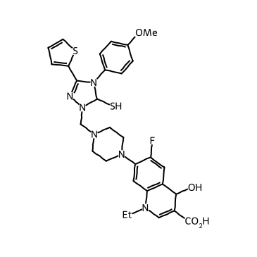 CCN1C=C(C(=O)O)C(O)c2cc(F)c(N3CCN(CN4N=C(c5cccs5)N(c5ccc(OC)cc5)C4S)CC3)cc21